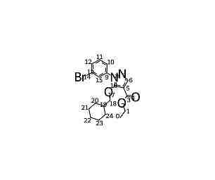 CCOC(=O)c1cnn(-c2cccc(Br)c2)c1OCC1CCCCC1